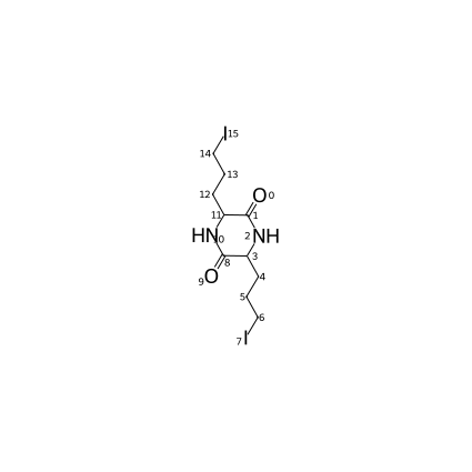 O=C1NC(CCCI)C(=O)NC1CCCI